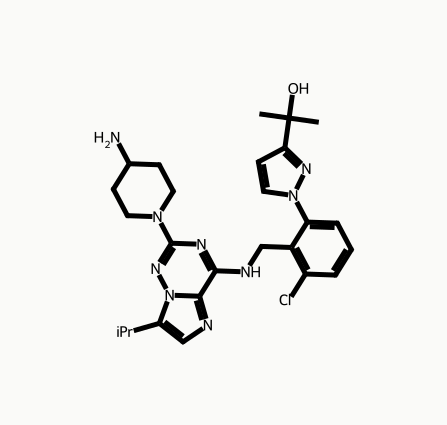 CC(C)c1cnc2c(NCc3c(Cl)cccc3-n3ccc(C(C)(C)O)n3)nc(N3CCC(N)CC3)nn12